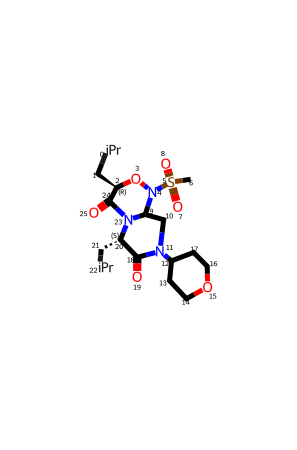 CC(C)C[C@H]1ON(S(C)(=O)=O)C2CN(C3CCOCC3)C(=O)[C@H](CC(C)C)N2C1=O